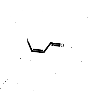 O=C/C=C\I